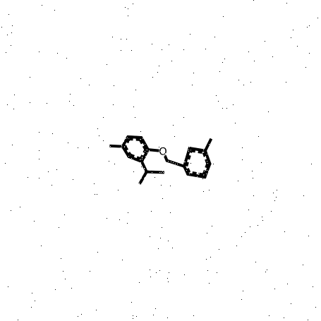 Cc1cccc(COc2ccc(C)cc2C(C)C)c1